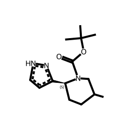 CC1CC[C@@H](c2cc[nH]n2)N(C(=O)OC(C)(C)C)C1